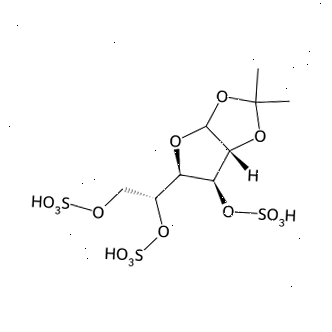 CC1(C)OC2O[C@H]([C@@H](COS(=O)(=O)O)OS(=O)(=O)O)[C@H](OS(=O)(=O)O)[C@H]2O1